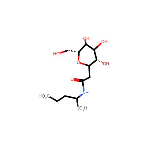 O=C(O)CCC(NC(=O)CC1O[C@H](CO)C(O)C(O)[C@@H]1O)C(=O)O